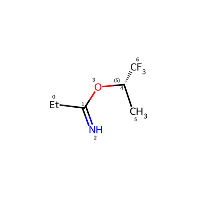 CCC(=N)O[C@@H](C)C(F)(F)F